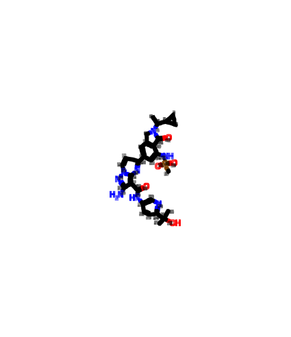 CC(C1CC1)N1Cc2cc(-c3ccn4nc(N)c(C(=O)Nc5ccc(C(C)(C)O)nc5)c4n3)cc(NS(C)(=O)=O)c2C1=O